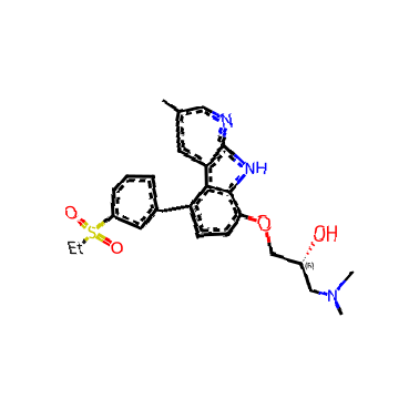 CCS(=O)(=O)c1cccc(-c2ccc(OC[C@H](O)CN(C)C)c3[nH]c4ncc(C)cc4c23)c1